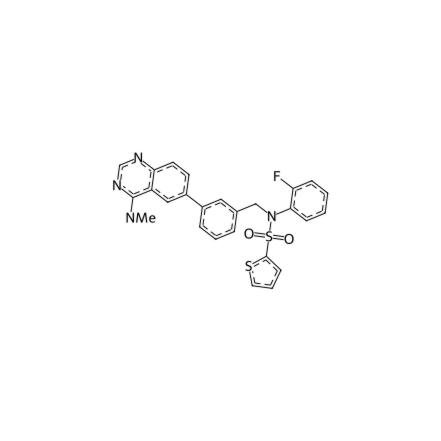 CNc1ncnc2ccc(-c3cccc(CN(c4ccccc4F)S(=O)(=O)c4cccs4)c3)cc12